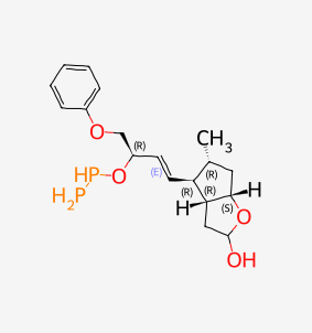 C[C@@H]1C[C@@H]2OC(O)C[C@@H]2[C@H]1/C=C/[C@H](COc1ccccc1)OPP